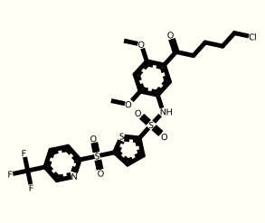 COc1cc(OC)c(C(=O)CCCCCl)cc1NS(=O)(=O)c1ccc(S(=O)(=O)c2ccc(C(F)(F)F)cn2)s1